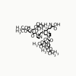 CC(C)(C)OC(=O)CN(CC(=O)OC(C)(C)C)C(=O)Cn1ccnc1CN(CCCC[C@H](N)C(=O)O)Cc1nccn1CC(=O)N(CC(=O)OC(C)(C)C)CC(=O)OC(C)(C)C